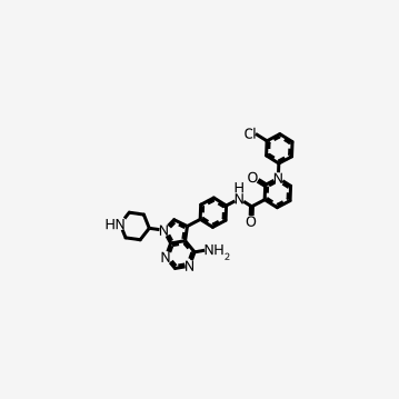 Nc1ncnc2c1c(-c1ccc(NC(=O)c3cccn(-c4cccc(Cl)c4)c3=O)cc1)cn2C1CCNCC1